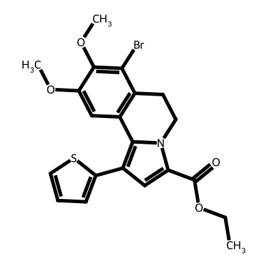 CCOC(=O)c1cc(-c2cccs2)c2n1CCc1c-2cc(OC)c(OC)c1Br